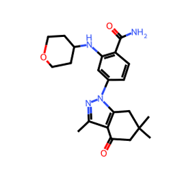 Cc1nn(-c2ccc(C(N)=O)c(NC3CCOCC3)c2)c2c1C(=O)CC(C)(C)C2